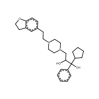 OC(CN1CCN(CCc2ccc3c(c2)CCO3)CC1)C(O)(c1ccccc1)C1CCCC1